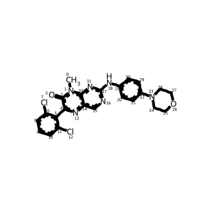 Cn1c(=O)c(-c2c(Cl)cccc2Cl)nc2cnc(Nc3ccc(N4CCOCC4)cc3)nc21